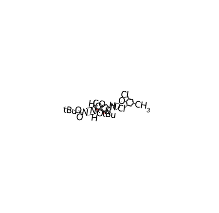 Cc1cc(Cl)c(O[C@@H]2CCN(c3ccc(C4=C(C(=O)O)[C@H]5CN(C(=O)OC(C)(C)C)C[C@@H](C4)N5C(=O)OC(C)(C)C)cn3)C2)c(Cl)c1